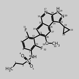 CCCS(=O)(=O)Nc1ccc(F)c(-c2cc3cnc4[nH]nc(C5CC5)c4c3cc2OC)c1F